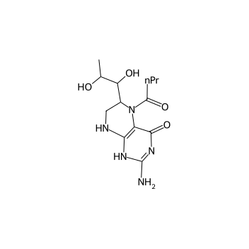 CCCC(=O)N1c2c([nH]c(N)nc2=O)NCC1C(O)C(C)O